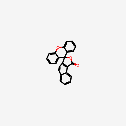 O=C1OC2(c3ccccc3Oc3ccccc32)c2ccc3ccccc3c21